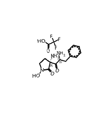 N[C@@H](Cc1ccccc1)C(=O)[C@]1(N)CCN(O)C1=O.O=C(O)C(F)(F)F